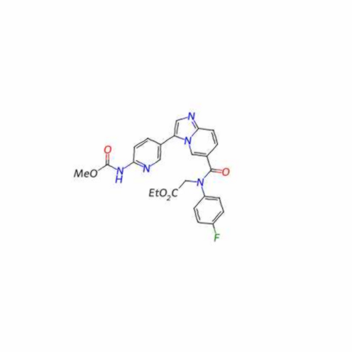 CCOC(=O)CN(C(=O)c1ccc2ncc(-c3ccc(NC(=O)OC)nc3)n2c1)c1ccc(F)cc1